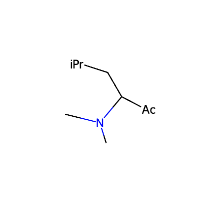 CC(=O)C(CC(C)C)N(C)C